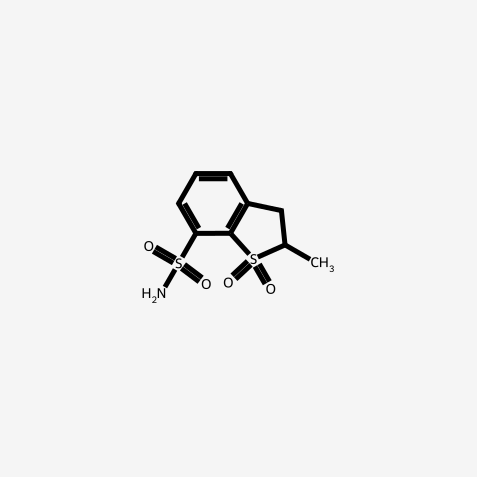 CC1Cc2cccc(S(N)(=O)=O)c2S1(=O)=O